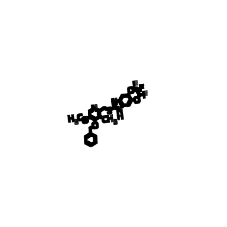 COc1cnc(CSc2nc3cc4c(cc3[nH]2)OC(F)C(F)(F)O4)c(C)c1OCc1ccccc1